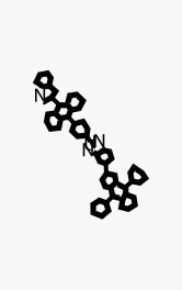 c1ccc(-c2c3ccccc3c(-c3ccccc3)c3cc(-c4ccc5nn(-c6ccc(-c7c8ccccc8c(-c8cnc9ccccc9c8)c8ccccc78)cc6)nc5c4)ccc23)cc1